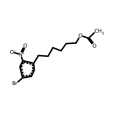 CC(=O)OCCCCC[CH]c1ccc(Br)cc1[N+](=O)[O-]